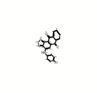 O=C1c2ccccc2C(=O)c2c1cc(Nc1ccc(Cl)cc1)c1nsnc21